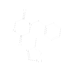 O=C1NCC(=O)N(Cc2ccccc2)[C@@H]1Cc1c[nH]cn1